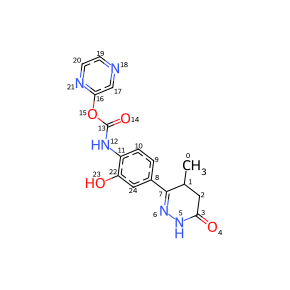 CC1CC(=O)NN=C1c1ccc(NC(=O)Oc2cnccn2)c(O)c1